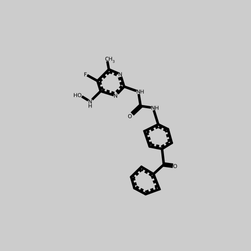 Cc1nc(NC(=O)Nc2ccc(C(=O)c3ccccc3)cc2)nc(NO)c1F